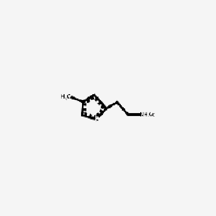 CC(=O)NCCc1cc(C)cs1